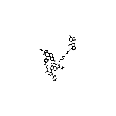 CC#C[C@]12CC[C@H]3[C@@H]4CCC5=CC(=O)CCC5=C4[C@@H](c4ccc(N(C)CCCC(=O)N5CCN(C(=O)OC(C)(C)C)CC5C(=O)N5CCN(C(=O)OC(C)(C)C)CC5C(=O)N(C)CCCCCCOCCCCCCNc5cccc6c5C(=O)N(C5CCC(=O)NC5=O)C6=O)cc4)C[C@@]31O2